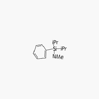 CN[Si](c1ccccc1)(C(C)C)C(C)C